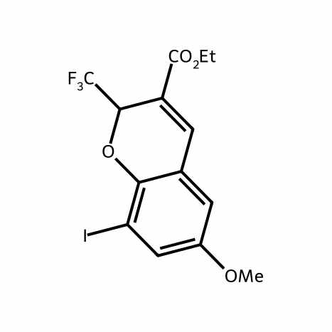 CCOC(=O)C1=Cc2cc(OC)cc(I)c2OC1C(F)(F)F